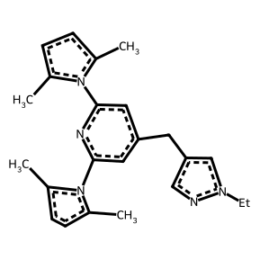 CCn1cc(Cc2cc(-n3c(C)ccc3C)nc(-n3c(C)ccc3C)c2)cn1